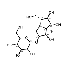 OCC1O[C@H](O[C@H]2CN3[C@H]([C@H]2O)[C@@H](O)[C@H](O)[C@H]3CO)C(O)[C@@H](O)[C@@H]1O